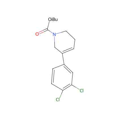 CC(C)COC(=O)N1CCC=C(c2ccc(Cl)c(Cl)c2)C1